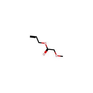 C=CCOC(=O)COC